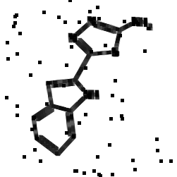 Nc1nnc(-c2cc3ccccc3[nH]2)s1